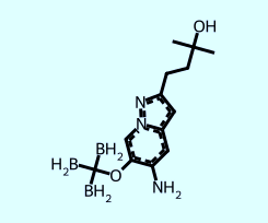 BC(B)(B)Oc1cn2nc(CCC(C)(C)O)cc2cc1N